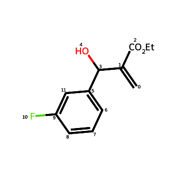 C=C(C(=O)OCC)C(O)c1cccc(F)c1